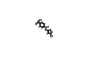 CCCC(=O)c1ccc(NCc2cnn(CC)c2)cc1